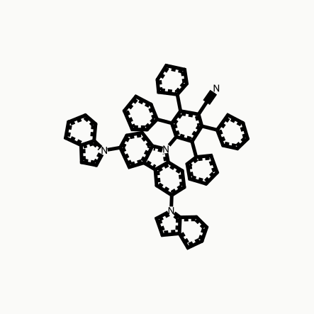 N#Cc1c(-c2ccccc2)c(-c2ccccc2)c(-n2c3ccc(-n4ccc5ccccc54)cc3c3cc(-n4ccc5ccccc54)ccc32)c(-c2ccccc2)c1-c1ccccc1